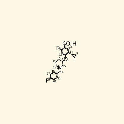 O=C(O)c1cc(C2CC2)c(OC2CCCN(Cc3ccc(F)cc3)C2)cc1F